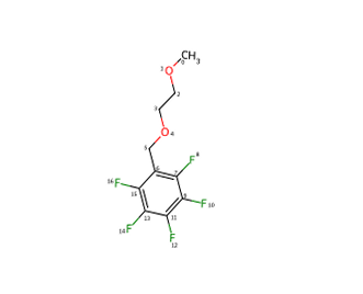 COCCOCc1c(F)c(F)c(F)c(F)c1F